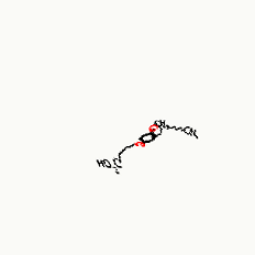 CC1(CCCCCCCCC#N)CCc2cc(OCCCCCCC(=O)O)ccc2O1